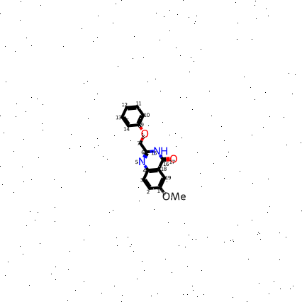 COc1ccc2nc(COc3ccccc3)[nH]c(=O)c2c1